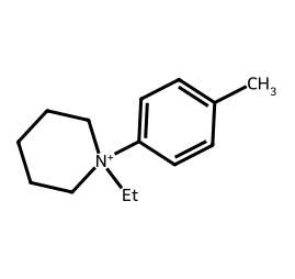 CC[N+]1(c2ccc(C)cc2)CCCCC1